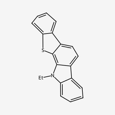 CCn1c2ccccc2c2ccc3c4ccccc4sc3c21